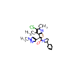 Cc1nc2sc(C(=O)N3CCC(c4ccccc4)C3)c(-c3cnn(C)c3)c2c(C)c1Cl